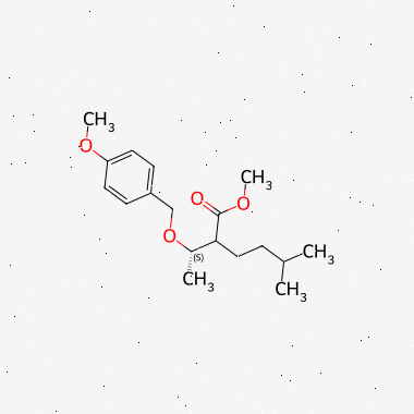 COC(=O)C(CCC(C)C)[C@H](C)OCc1ccc(OC)cc1